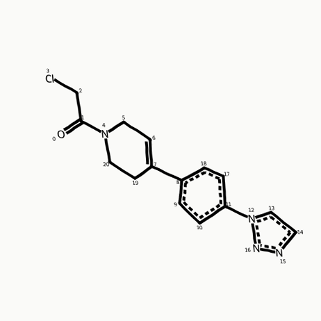 O=C(CCl)N1CC=C(c2ccc(-n3ccnn3)cc2)CC1